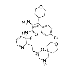 N[C@H](C(=O)NC1(F)C=CC=NC1CC[C@@H]1CNCC2(CCOCC2)O1)[C@@H](c1ccc(Cl)cc1)C1CCOCC1